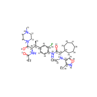 CCC(=O)N[C@@H](C(=O)N1CCN(C)CC1)[C@@H](C)c1ccc(NC(=O)[C@H](C2CCCCCC2)N(C=O)c2conc2CC)c(F)c1